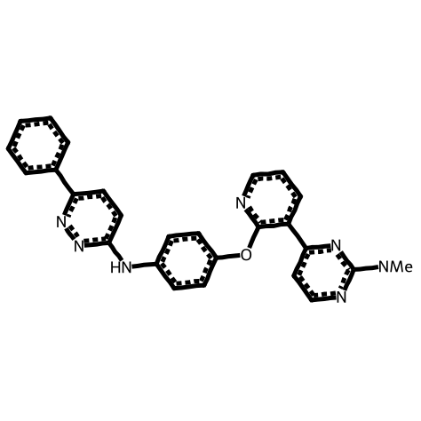 CNc1nccc(-c2cccnc2Oc2ccc(Nc3ccc(-c4ccccc4)nn3)cc2)n1